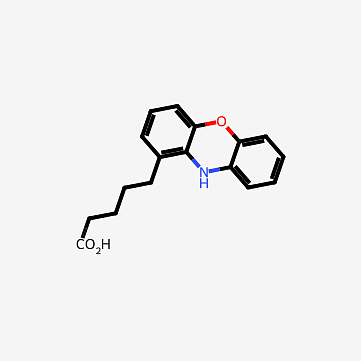 O=C(O)CCCCc1cccc2c1Nc1ccccc1O2